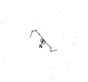 CCCCC/C=C\C/C=C\CC/C=C/CCCCC(CCCCCCCC/C=C\C/C=C\CCCCC)OC(=O)CCCN(C)C